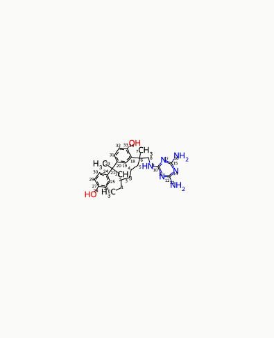 CCCCCCC(C)(CNc1nc(N)nc(N)n1)c1cc(C(C)(C)c2ccc(O)cc2)ccc1O